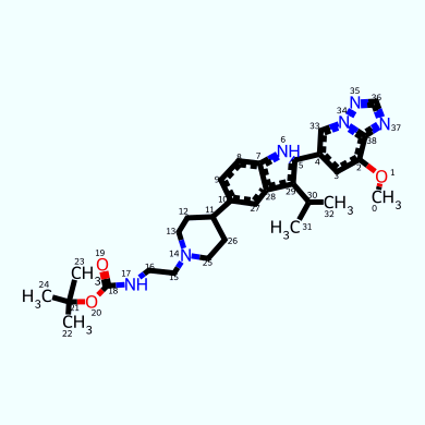 COc1cc(-c2[nH]c3ccc(C4CCN(CCNC(=O)OC(C)(C)C)CC4)cc3c2C(C)C)cn2ncnc12